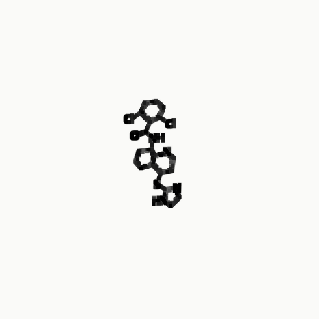 O=C(Nc1cccc2c(Sc3ncc[nH]3)ccnc12)c1c(Cl)cccc1Cl